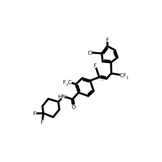 O=C(NC1CCC(F)(F)CC1)c1ccc(/C(F)=C/C(c2ccc(F)c(Cl)c2)C(F)(F)F)cc1C(F)(F)F